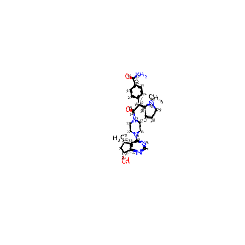 C[C@@H]1C[C@@H](O)c2ncnc(N3CCN(C(=O)[C@@H](c4ccc(C(N)=O)cc4)[C@@H]4CCCN4C)CC3)c21